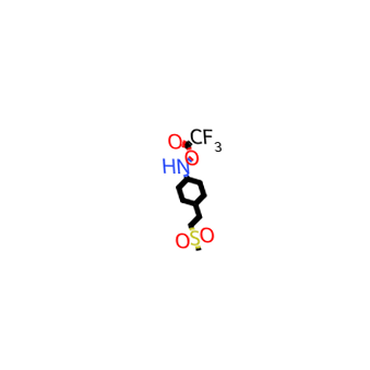 CS(=O)(=O)CCC1CCC(NOC(=O)C(F)(F)F)CC1